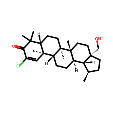 C[C@@H]1CC[C@]2(CO)CC[C@]3(C)[C@H](CC[C@@H]4[C@@]5(C)C=C(Cl)C(=O)C(C)(C)[C@@H]5CC[C@]43C)[C@@H]12